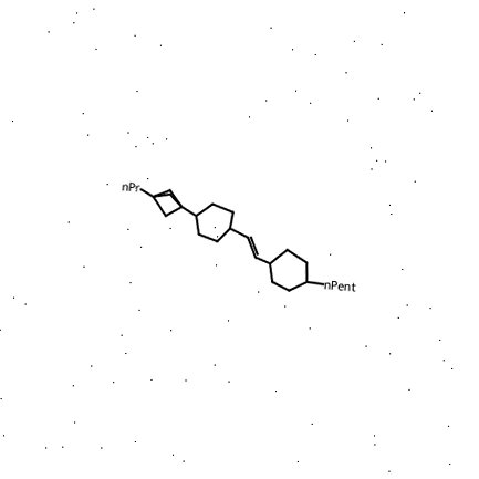 CCCCCC1CCC(/C=C/C2CCC(C34CC(CCC)(C3)C4)CC2)CC1